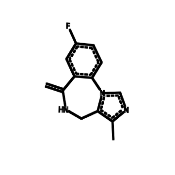 C=C1NCc2c(C)ncn2-c2ccc(F)cc21